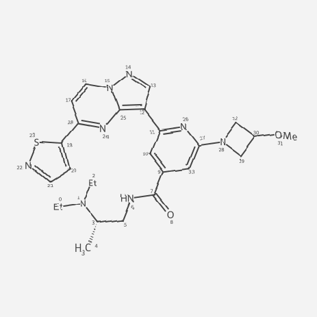 CCN(CC)[C@@H](C)CNC(=O)c1cc(-c2cnn3ccc(-c4ccns4)nc23)nc(N2CC(OC)C2)c1